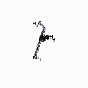 CCCCCCC/C=C\CCCCCCCC(=O)O[C@H](COCCCCCCCCCCCCCCCCCCCC)COP(=O)([O-])OCC[N+](C)(C)C